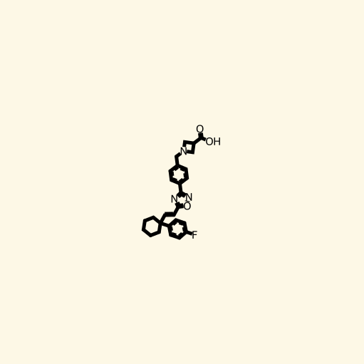 O=C(O)C1CN(Cc2ccc(-c3noc(C=CC4(c5ccc(F)cc5)CCCCC4)n3)cc2)C1